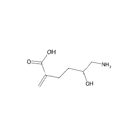 C=C(CCC(O)CN)C(=O)O